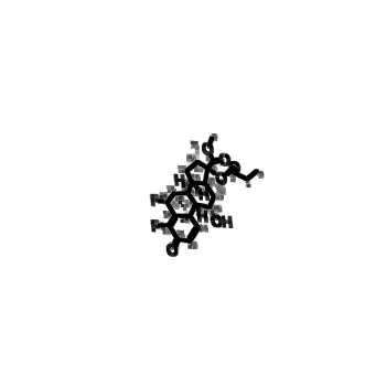 CCC(=O)O[C@]1(C(=O)OC)[C@@H](C)C[C@H]2[C@@H]3C[C@H](F)C4=C(F)C(=O)C=C[C@]4(C)[C@H]3[C@@H](O)C[C@@]21C